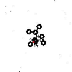 CC(C)c1cccc(-n2c3ccccc3c3cccc(N(c4cc(-c5ccccc5)cc(-c5ccccc5)c4)c4ccc5c(c4)sc4ccccc45)c32)c1